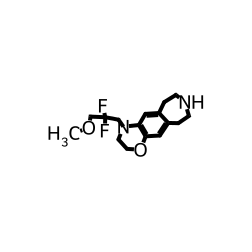 COCC(F)(F)CN1CCOc2cc3c(cc21)CCNCC3